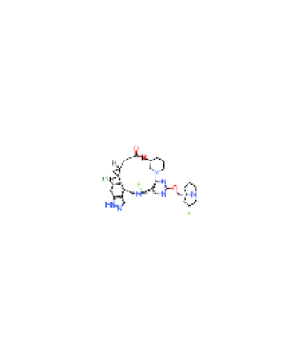 O=C1CC[C@H]2C[C@H]2c2c(Cl)cc3[nH]ncc3c2-c2ncc3c(nc(OC[C@@]45CCCN4C[C@H](F)C5)nc3c2F)N2CCC[C@H](C2)O1